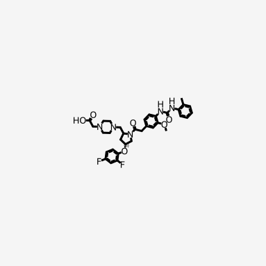 COc1cc(CC(=O)N2C[C@@H](Oc3ccc(F)cc3F)CC2CN2CCN(CC(=O)O)CC2)ccc1NC(=O)Nc1ccccc1C